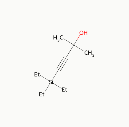 CC[Si](C#CC(C)(C)O)(CC)CC